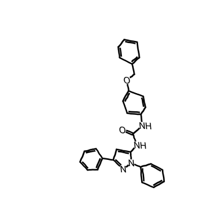 O=C(Nc1ccc(OCc2ccccc2)cc1)Nc1cc(-c2ccccc2)nn1-c1ccccc1